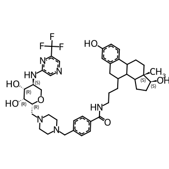 C[C@]12CCC3c4ccc(O)cc4CC(CCCNC(=O)c4ccc(CN5CCN(C[C@H]6OC[C@H](Nc7cncc(C(F)(F)F)n7)[C@@H](O)[C@H]6O)CC5)cc4)C3C1CC[C@@H]2O